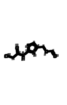 O=COCc1csc(NC(=O)CCl)n1